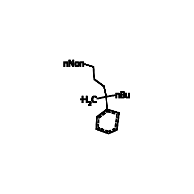 [CH2]C(CCCC)(CCCCCCCCCCCC)c1ccccc1